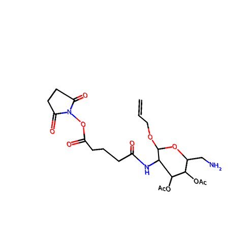 C=CCOC1OC(CN)C(OC(C)=O)C(OC(C)=O)C1NC(=O)CCCC(=O)ON1C(=O)CCC1=O